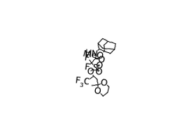 COC12CC3CC(CC(C3)C1NC(=O)C(F)(F)S(=O)(=O)OC(CC1(C)OCCCO1)C(F)(F)F)C2